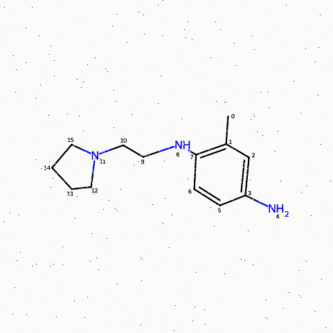 Cc1cc(N)ccc1NCCN1CCCC1